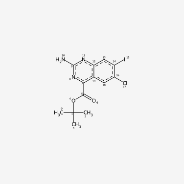 CC(C)(C)OC(=O)c1nc(N)nc2cc(I)c(Cl)cc12